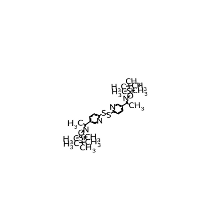 CC(=NO[Si](C)(C)C(C)(C)C)c1ccc(SSc2ccc(C(C)=NO[Si](C)(C)C(C)(C)C)cn2)nc1